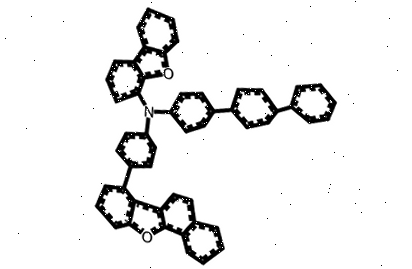 c1ccc(-c2ccc(-c3ccc(N(c4ccc(-c5cccc6oc7c8ccccc8ccc7c56)cc4)c4cccc5c4oc4ccccc45)cc3)cc2)cc1